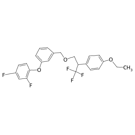 CCOc1ccc(C(COCc2cccc(Oc3ccc(F)cc3F)c2)C(F)(F)F)cc1